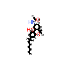 CCCCCCC(C)(C)c1ccc2c(c1)OC(C)(C)C1CCC(NC(C)=O)CC21O